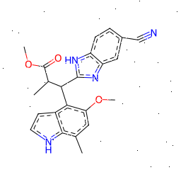 COC(=O)C(C)C(c1nc2cc(C#N)ccc2[nH]1)c1c(OC)cc(C)c2[nH]ccc12